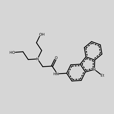 CCn1c2ccccc2c2cc(NC(=O)CN(CCO)CCO)ccc21